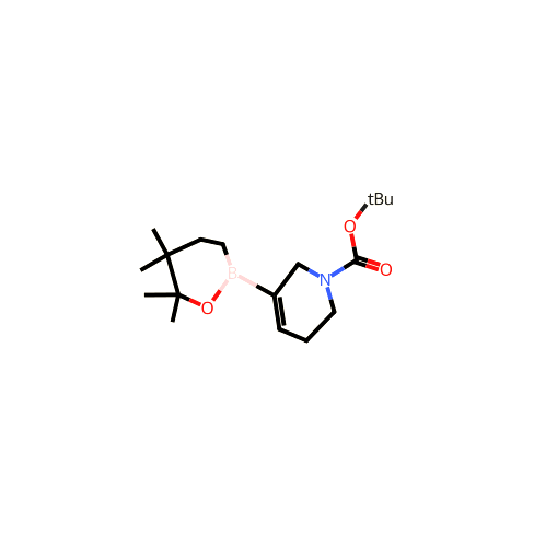 CC(C)(C)OC(=O)N1CCC=C(B2CCC(C)(C)C(C)(C)O2)C1